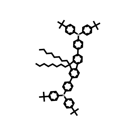 CCCCCCCCC1(CCCCCCCC)c2cc(-c3ccc(N(c4ccc(C(C)(C)C)cc4)c4ccc(C(C)(C)C)cc4)cc3)ccc2-c2ccc(-c3ccc(N(c4ccc(C(C)(C)C)cc4)c4ccc(C(C)(C)C)cc4)cc3)cc21